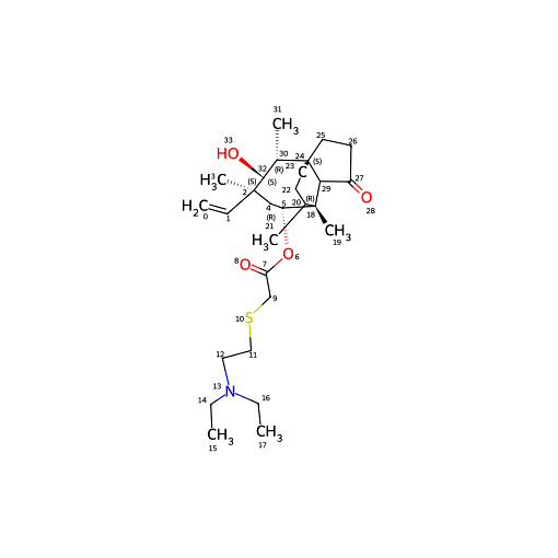 C=C[C@]1(C)C[C@@H](OC(=O)CSCCN(CC)CC)[C@]2(C)C(C)CC[C@]3(CCC(=O)C32)[C@@H](C)[C@@H]1O